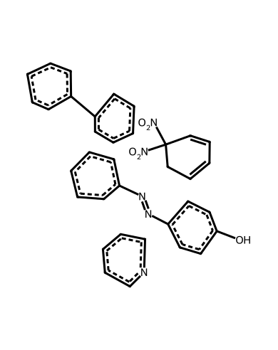 O=[N+]([O-])C1([N+](=O)[O-])C=CC=CC1.Oc1ccc(N=Nc2ccccc2)cc1.c1ccc(-c2ccccc2)cc1.c1ccncc1